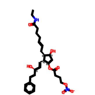 CCNC(=O)CCCC=CC[C@@H]1[C@@H](C=C[C@@H](O)CCc2ccccc2)[C@H](OC(=O)CCCO[N+](=O)[O-])C[C@@H]1O